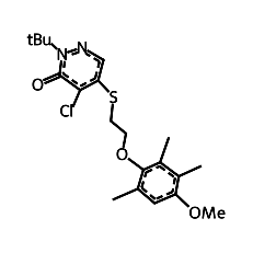 COc1cc(C)c(OCCSc2cnn(C(C)(C)C)c(=O)c2Cl)c(C)c1C